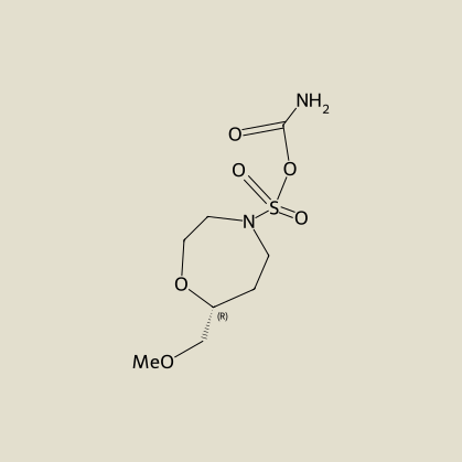 COC[C@H]1CCN(S(=O)(=O)OC(N)=O)CCO1